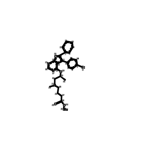 CCc1ccc(-c2c(-c3ccccc3)oc3ncnc(O[C@@H](C)CN(C)CCCC(=O)OC(C)(C)C)c23)cc1